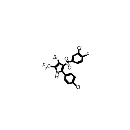 O=S(=O)(c1ccc(F)c(Cl)c1)c1c(-c2ccc(Cl)cc2)[nH]c(C(F)(F)F)c1Br